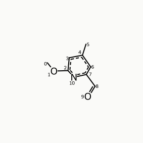 COc1cc(C)cc(C=O)n1